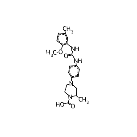 COc1ccc(C)cc1NC(=O)Nc1ccc(N2CCN(C(=O)O)C(C)C2)cc1